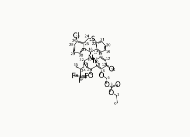 CCOC(=O)OCOc1c2n(ccc1=O)N([C@@H]1c3ccccc3SCc3c(Cl)cccc31)CN([C@H](C)C(F)(F)F)C2=O